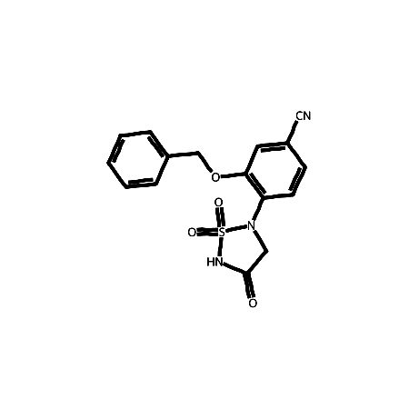 N#Cc1ccc(N2CC(=O)NS2(=O)=O)c(OCc2ccccc2)c1